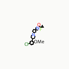 COc1ccc(Cl)cc1C1CCN([C@H]2CCC3(C2)CN(C(=O)C2(F)CC2)C3)CC1